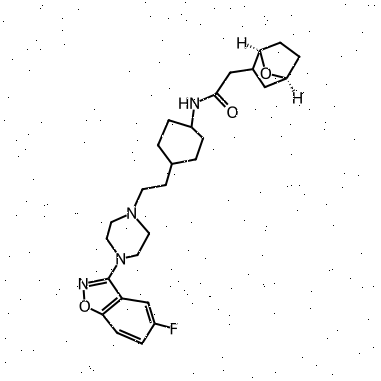 O=C(CC1C[C@@H]2CC[C@H]1O2)NC1CCC(CCN2CCN(c3noc4ccc(F)cc34)CC2)CC1